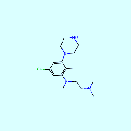 Cc1c(N(C)CCN(C)C)cc(Cl)cc1N1CCNCC1